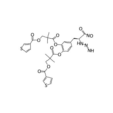 CC(C)(COC(=O)c1ccsc1)C(=O)Oc1ccc(C[C@H](NN=N)C(=O)N=O)cc1OC(=O)C(C)(C)COC(=O)c1ccsc1